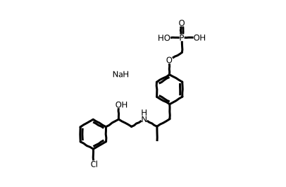 CC(Cc1ccc(OCP(=O)(O)O)cc1)NCC(O)c1cccc(Cl)c1.[NaH]